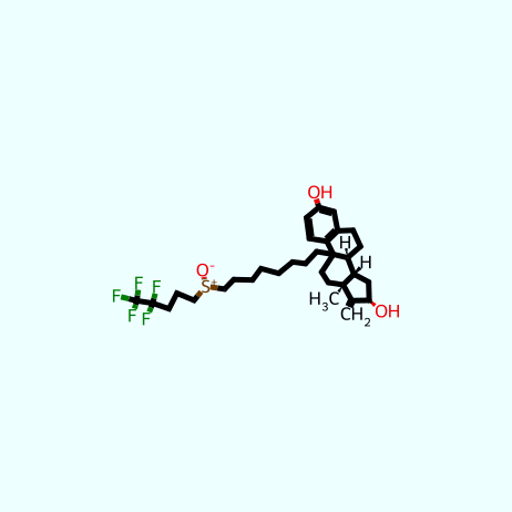 C=C1[C@H](O)C[C@H]2[C@@H]3CCc4cc(O)ccc4C3(CCCCCCCC[S+]([O-])CCCC(F)(F)C(F)(F)F)CC[C@]12C